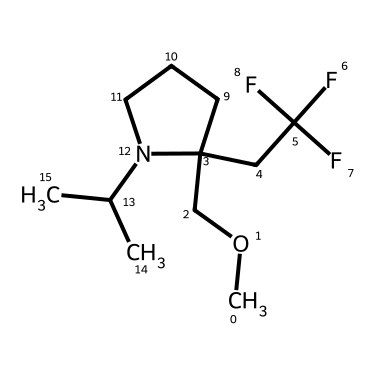 COCC1(CC(F)(F)F)CCCN1C(C)C